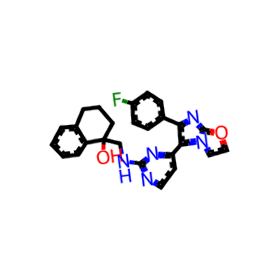 OC1(CNc2nccc(-c3c(-c4ccc(F)cc4)nc4occn34)n2)CCCc2ccccc21